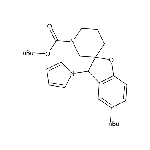 CCCCOC(=O)N1CCCC2(C1)Oc1ccc(CCCC)cc1C2n1cccc1